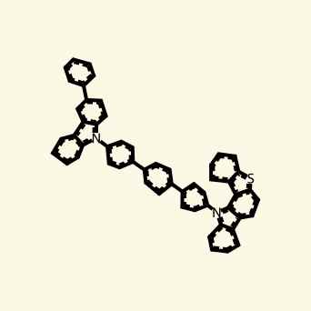 c1ccc(-c2ccc3c(c2)c2ccccc2n3-c2ccc(-c3ccc(-c4ccc(-n5c6ccccc6c6ccc7sc8ccccc8c7c65)cc4)cc3)cc2)cc1